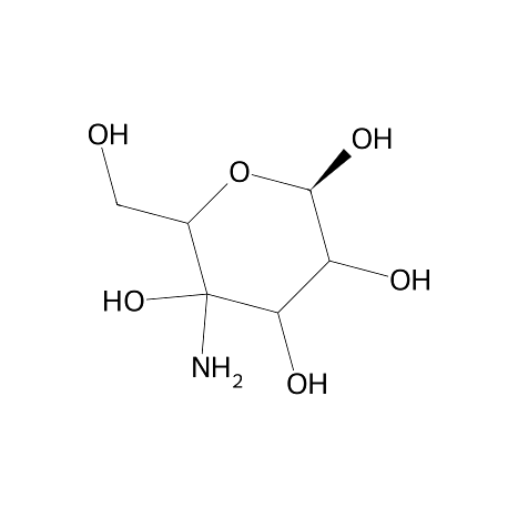 NC1(O)C(CO)O[C@@H](O)C(O)C1O